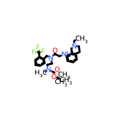 CCN1CCc2cccc(NCC(=O)N(CCN(C)C(=O)OC(C)(C)C)Cc3ccccc3C(F)(F)F)c2C1